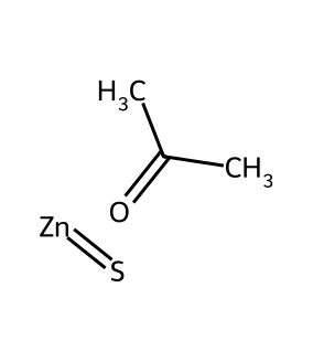 CC(C)=O.[S]=[Zn]